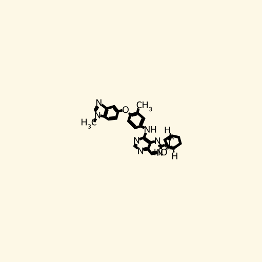 Cc1cc(Nc2ncnc3cnc(N4[C@H]5CC[C@@H]4[C@H](O)C5)nc23)ccc1Oc1ccc2c(c1)ncn2C